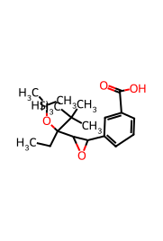 CCC(O[SiH](C)C)(C1OC1c1cccc(C(=O)O)c1)C(C)(C)C